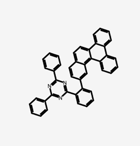 c1ccc(-c2nc(-c3ccccc3)nc(-c3ccccc3-c3ccc4ccc5c6ccccc6c6ccccc6c5c4c3)n2)cc1